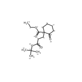 CCOC(=O)C1(CCC(=O)OC(C)(C)C)CCCCC1=O